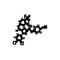 CN(Cc1ccc(C(F)(F)F)c(F)c1)[C@H]1CN(C(=O)CN2CCC(C#N)CC2)C[C@@H]1c1ccc(Cl)c(Cl)c1